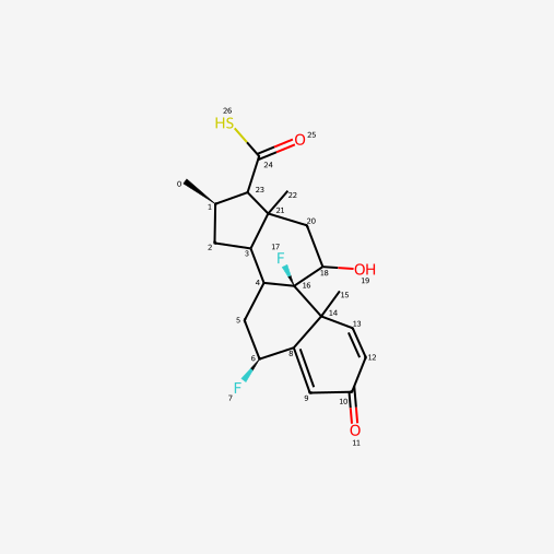 C[C@@H]1CC2C3C[C@H](F)C4=CC(=O)C=CC4(C)[C@@]3(F)C(O)CC2(C)C1C(=O)S